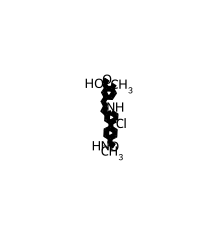 CNC(=O)c1ccc(-c2cc3cc(Cc4ccc(C)c(C(=O)O)c4)[nH]c3cc2Cl)cc1